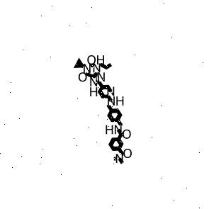 CCCN1c2nc(-c3ccc(NCc4ccc(CNC(=O)c5cccc(C(=O)N(C)C)c5)cc4)nc3)[nH]c2C(=O)N(C2CC2)C1O